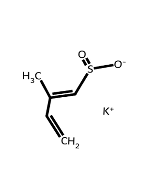 C=CC(C)=CS(=O)[O-].[K+]